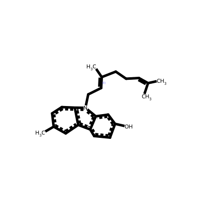 CC(C)=CCC/C(C)=C/Cn1c2ccc(C)cc2c2ccc(O)cc21